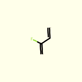 [CH]=CC(=[CH])F